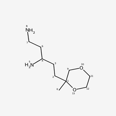 CC1(CCC(N)CCN)COCCO1